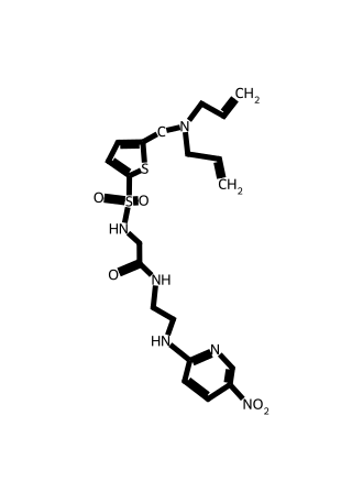 C=CCN(CC=C)Cc1ccc(S(=O)(=O)NCC(=O)NCCNc2ccc([N+](=O)[O-])cn2)s1